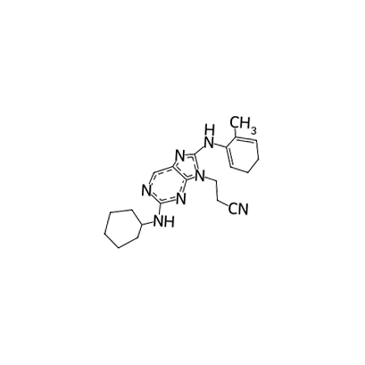 CC1=CCCC=C1Nc1nc2cnc(NC3CCCCC3)nc2n1CCC#N